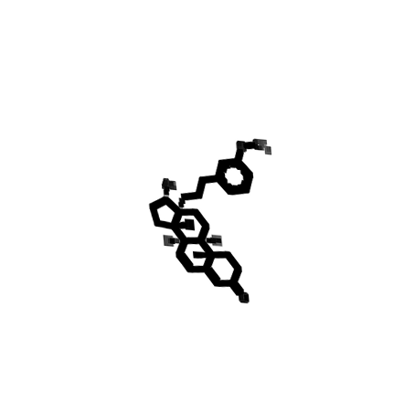 CC(=O)[C@H]1CC[C@H]2[C@@H]3C=CC4=CC(=O)CC[C@@]4(C)[C@@H]3CC[C@]12CCCc1cccc(OC(F)(F)F)c1